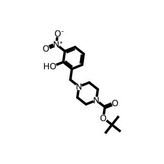 CC(C)(C)OC(=O)N1CCN(Cc2cccc([N+](=O)[O-])c2O)CC1